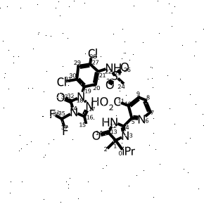 CC(C)C1(C)N=C(c2ncccc2C(=O)O)NC1=O.Cc1nn(-c2cc(NS(C)(=O)=O)c(Cl)cc2Cl)c(=O)n1C(F)F